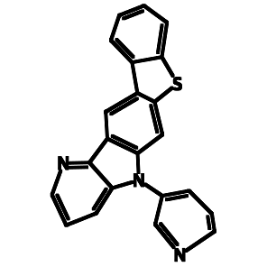 c1cncc(-n2c3cc4sc5ccccc5c4cc3c3ncccc32)c1